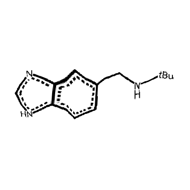 CC(C)(C)NCc1ccc2[nH]cnc2c1